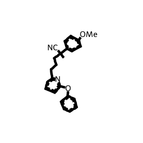 COc1ccc(C(C)(C#N)CCCc2cccc(Oc3ccccc3)n2)cc1